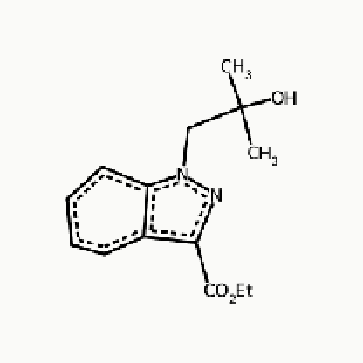 CCOC(=O)c1nn(CC(C)(C)O)c2ccccc12